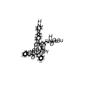 CC(C)C[C@@H](NC(=O)[C@@H](Cc1ccccc1)NC(=O)[C@@H](Cc1ccccc1)NC(=O)O)C(=O)N[C@H](CCCCNC(=O)OC(C)(C)C)C(=O)N1CCC2(CC1)CC(N1CCNCC1)C2